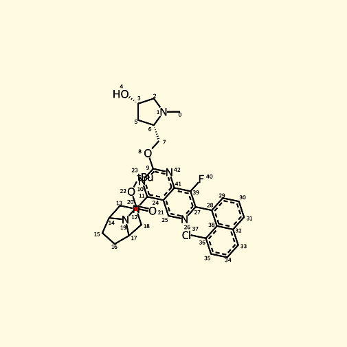 CN1C[C@@H](O)C[C@H]1COc1nc(N2CC3CCC(C2)N3C(=O)OC(C)(C)C)c2cnc(-c3cccc4cccc(Cl)c34)c(F)c2n1